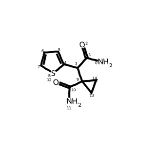 NC(=O)C(c1cccs1)C1(C(N)=O)CC1